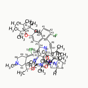 CC(Oc1nc(N2C[C@H]3CC[C@@H](C2)N3C(=O)OC(C)(C)C)c2cnc(-c3cc(O[Si](C(C)C)(C(C)C)C(C)C)cc4ccc(F)c(C#C[Si](C(C)C)(C(C)C)C(C)C)c34)c(F)c2n1)[C@]1(C)CN(C)CC/C1=C\F